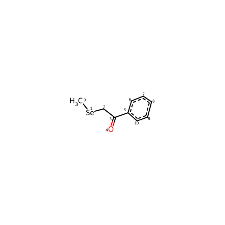 C[Se]CC(=O)c1ccccc1